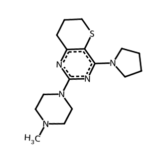 CN1CCN(c2nc3c(c(N4CCCC4)n2)SCCC3)CC1